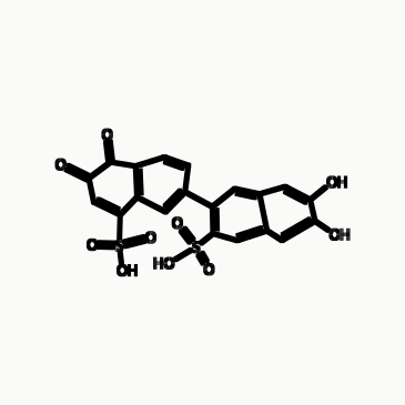 O=C1C=C(S(=O)(=O)O)c2cc(-c3cc4cc(O)c(O)cc4cc3S(=O)(=O)O)ccc2C1=O